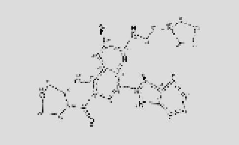 O=C(c1cn(-c2nc3ccccc3s2)c2nc(NCCN3CCCC3)c(F)cc2c1=O)N1CCOCC1